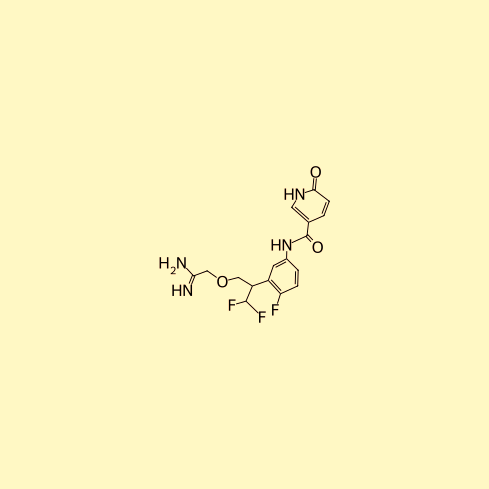 N=C(N)COCC(c1cc(NC(=O)c2ccc(=O)[nH]c2)ccc1F)C(F)F